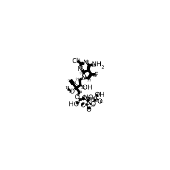 C#CC(COP(=O)(O)OP(=O)(O)OP(=O)(O)O)(OC)[C@@H](O)Cn1cc(F)c2c(N)nc(Cl)nc21